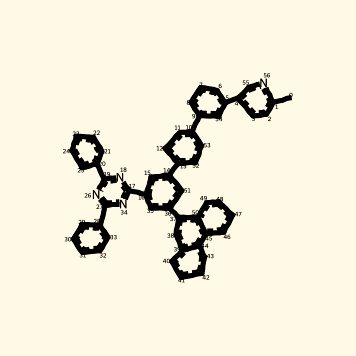 Cc1ccc(-c2cccc(-c3ccc(-c4cc(-c5nc(-c6ccccc6)nc(-c6ccccc6)n5)cc(-c5cc6ccccc6c6ccccc56)c4)cc3)c2)cn1